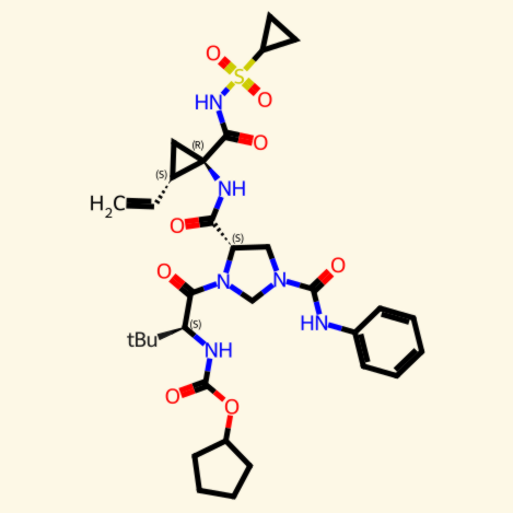 C=C[C@@H]1C[C@]1(NC(=O)[C@@H]1CN(C(=O)Nc2ccccc2)CN1C(=O)[C@@H](NC(=O)OC1CCCC1)C(C)(C)C)C(=O)NS(=O)(=O)C1CC1